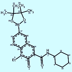 CCn1c(=O)c(C(=O)NC2CCCCC2)cc2cc(B3OC(C)(C)C(C)(C)O3)cnc21